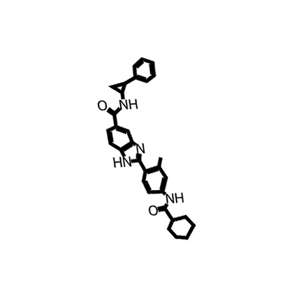 Cc1cc(NC(=O)C2CCCCC2)ccc1-c1nc2cc(C(=O)NC3CC3c3ccccc3)ccc2[nH]1